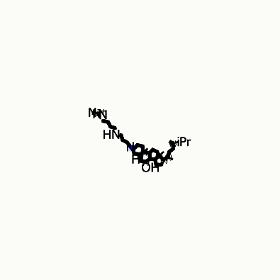 CC(C)[C@H](C)CC[C@@H](C)[C@H]1CCC2C3C(CC[C@@]21C)[C@@]1(C)CC/C(=N\CCCNCCCCN=[N+]=[N-])C[C@@H]1C[C@H]3O